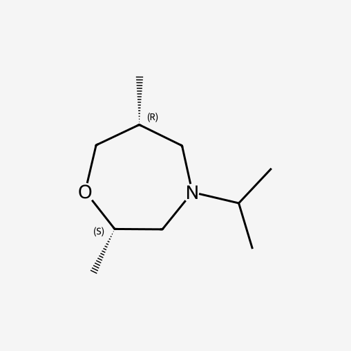 CC(C)N1C[C@@H](C)CO[C@@H](C)C1